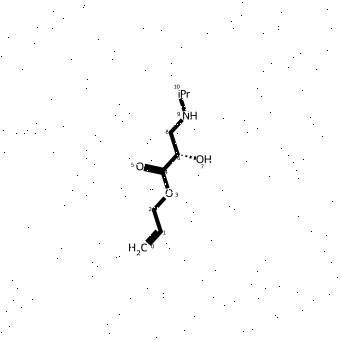 C=CCOC(=O)[C@@H](O)CNC(C)C